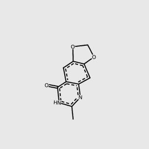 Cc1nc2cc3c(cc2c(=O)[nH]1)OCO3